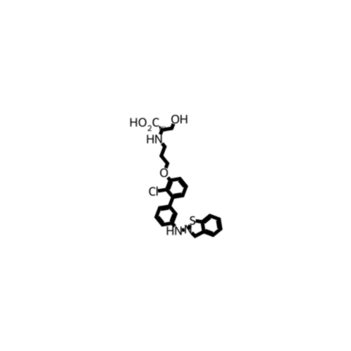 O=C(O)[C@H](CO)NCCCOc1cccc(-c2cccc(NN3Cc4ccccc4S3)c2)c1Cl